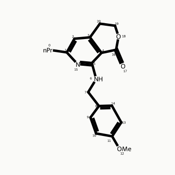 CCCc1cc2c(c(NCc3ccc(OC)cc3)n1)C(=O)OCC2